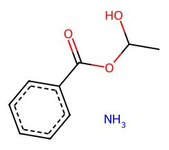 CC(O)OC(=O)c1ccccc1.N